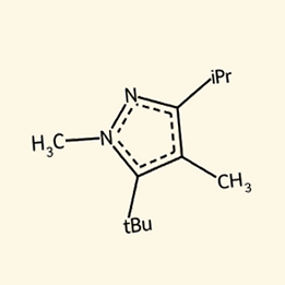 Cc1c(C(C)C)nn(C)c1C(C)(C)C